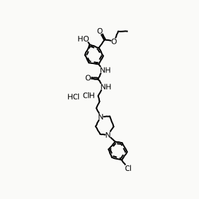 CCOC(=O)c1cc(NC(=O)NCCCN2CCN(c3ccc(Cl)cc3)CC2)ccc1O.Cl.Cl